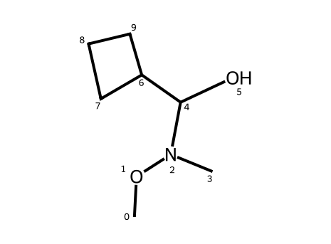 CON(C)C(O)C1CCC1